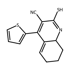 N#CC1=C(c2cccs2)C2=CCCCC2N=C1S